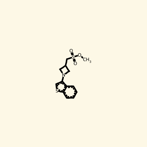 COS(=O)(=O)CC1CN(c2csc3ccccc23)C1